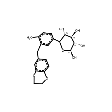 Cc1ccc(C2O[C@H](O)[C@@H](O)[C@H](O)[C@H]2O)cc1Cc1ccc2c(c1)OCCO2